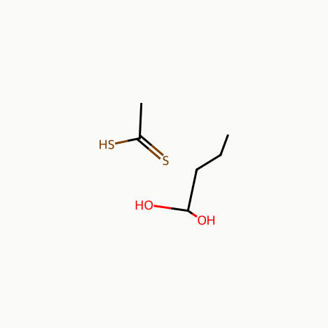 CC(=S)S.CCCC(O)O